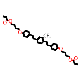 C=CC(=O)OCCCCOc1ccc(/C=C/c2ccc(/C=C/c3ccc(OCCCCOC(=O)C=C)cc3)c(C(F)(F)F)c2)cc1